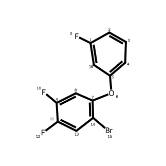 Fc1cccc(Oc2cc(F)c(F)cc2Br)c1